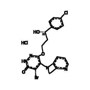 Cl.O=c1[nH]nc(OCC[C@H](O)c2ccc(Cl)cc2)c(N2Cc3ncccc32)c1Br